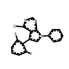 Fc1cccc(F)c1-c1cn(-c2ccccc2)c2ncnc(Cl)c12